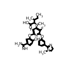 CCC(C)C(C(=O)O)N(C)c1c(F)c(Oc2cccc(C3=NCCN3C)c2)nc(Oc2cc(C(=N)N)ccc2O)c1F